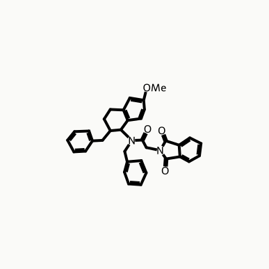 COc1ccc2c(c1)CCC(Cc1ccccc1)C2N(Cc1ccccc1)C(=O)CN1C(=O)c2ccccc2C1=O